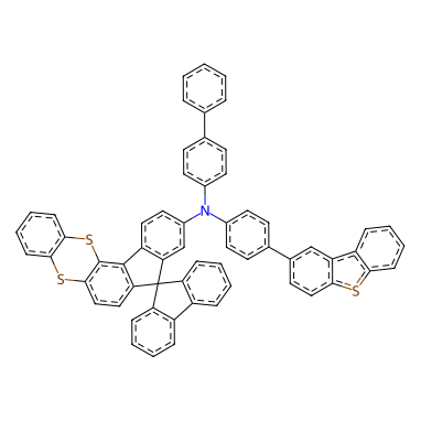 c1ccc(-c2ccc(N(c3ccc(-c4ccc5sc6ccccc6c5c4)cc3)c3ccc4c(c3)C3(c5ccccc5-c5ccccc53)c3ccc5c(c3-4)Sc3ccccc3S5)cc2)cc1